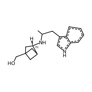 CC(Cc1c[nH]c2ccccc12)N[C@H]1CC2(CO)CC1C2